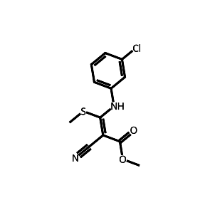 COC(=O)C(C#N)=C(Nc1cccc(Cl)c1)SC